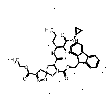 CCC[C@H](NC(=O)[C@@H]1C[C@]2(CC(C(=O)OCC)=NO2)CN1C(=O)OCC1c2ccccc2-c2ccccc21)C(O)C(=O)NC1CC1